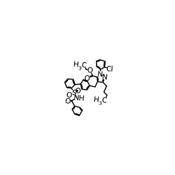 CCCCc1nn(-c2ccccc2Cl)c(C(=O)OCC)c1Cc1ccc(-c2ccccc2S(=O)(=O)NC(=O)c2ccccc2)cc1